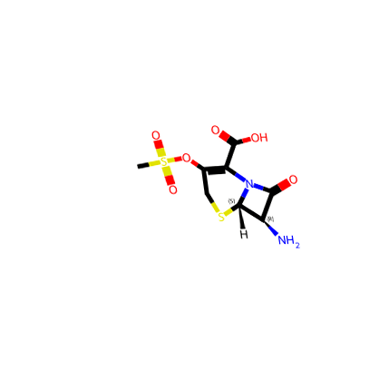 CS(=O)(=O)OC1=C(C(=O)O)N2C(=O)[C@@H](N)[C@@H]2SC1